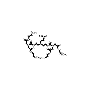 CCCCCCCCCCCCOC(=O)CN(CC(=O)OCCCCCCCCCCCC)C(=O)OCCN(CCOC(=O)N(CC(=O)OCCCCCCCCCCCC)CC(=O)OCCCCCCCCCCCC)CCN(CC)CC